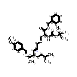 COc1ccc(CO[C@@H](C)[C@@H](/C=C/COC[C@H](NC(=O)OC(C)(C)C)C(=O)OCc2ccccc2)CCC(C)C)cc1